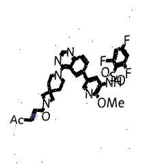 COc1ncc(-c2ccc3ncnc(N4CCC5(CC4)CN(C(=O)/C=C/C(C)=O)C5)c3c2)cc1NS(=O)(=O)c1c(F)cc(F)cc1F